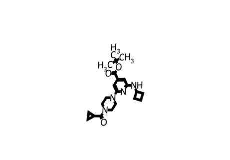 CC(C)(C)OC(=O)c1cc(NC2CCC2)nc(N2CCN(C(=O)C3CC3)CC2)c1